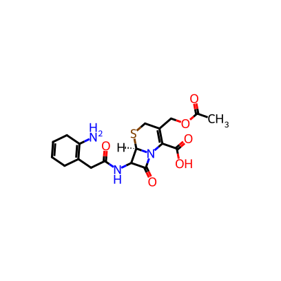 CC(=O)OCC1=C(C(=O)O)N2C(=O)C(NC(=O)CC3=C(N)CC=CC3)[C@H]2SC1